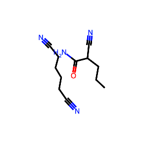 CCCC(C#N)C(N)=O.N#CCCCCC#N